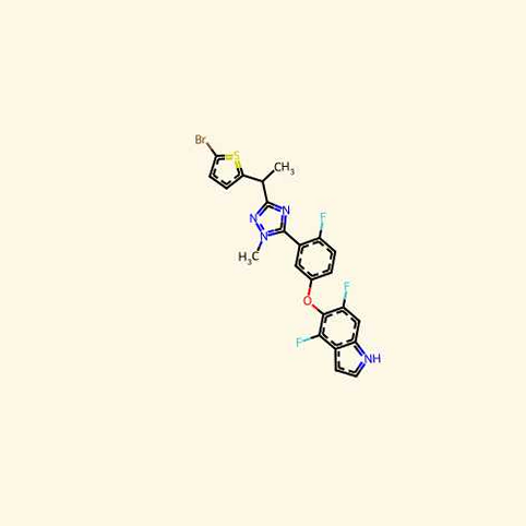 CC(c1nc(-c2cc(Oc3c(F)cc4[nH]ccc4c3F)ccc2F)n(C)n1)c1ccc(Br)s1